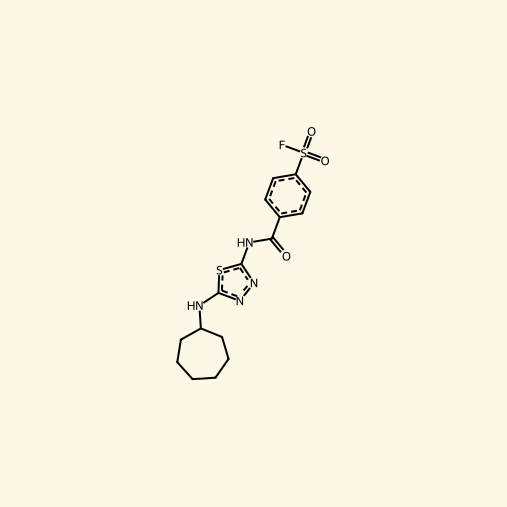 O=C(Nc1nnc(NC2CCCCCC2)s1)c1ccc(S(=O)(=O)F)cc1